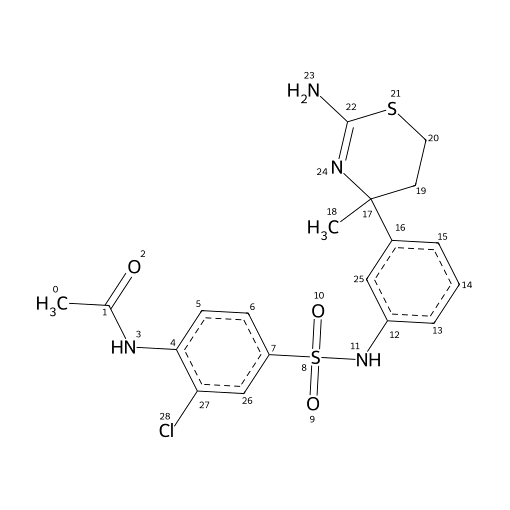 CC(=O)Nc1ccc(S(=O)(=O)Nc2cccc(C3(C)CCSC(N)=N3)c2)cc1Cl